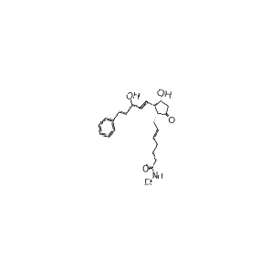 CCNC(=O)CCCC=CC[C@H]1C(=O)C[C@@H](O)[C@@H]1C=CC(O)CCc1ccccc1